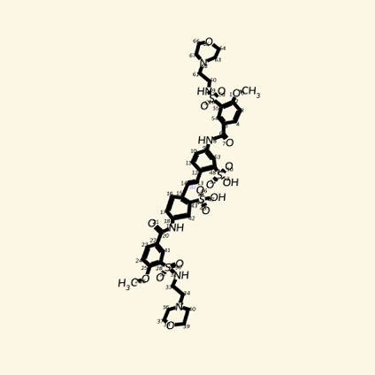 COc1ccc(C(=O)Nc2ccc(/C=C/c3ccc(NC(=O)c4ccc(OC)c(S(=O)(=O)NCCN5CCOCC5)c4)cc3S(=O)(=O)O)c(S(=O)(=O)O)c2)cc1S(=O)(=O)NCCN1CCOCC1